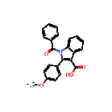 COc1ccc(-c2c(C(=O)O)c3ccccc3n2C(=O)c2ccccc2)cc1